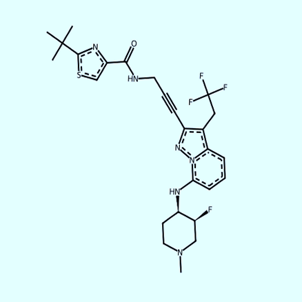 CN1CC[C@@H](Nc2cccc3c(CC(F)(F)F)c(C#CCNC(=O)c4csc(C(C)(C)C)n4)nn23)[C@@H](F)C1